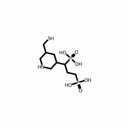 O=P(O)(O)CCC(C1CNCC(CS)C1)P(=O)(O)O